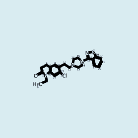 CCN1C(=O)CCc2cc(CCN3CCN(c4nsc5ccccc45)CC3)c(Cl)cc21